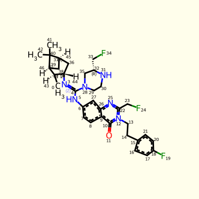 C[C@@H]1[C@@H](/N=C(/Nc2ccc3c(=O)n(CCc4ccc(F)cc4)c(CF)nc3c2)N2CCN[C@@H](CF)C2)C[C@H]2C[C@@H]1C2(C)C